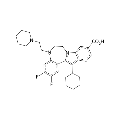 O=C(O)c1ccc2c(C3CCCCC3)c3n(c2c1)CCN(CCN1CCCCC1)c1cc(F)c(F)cc1-3